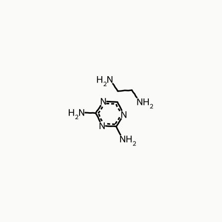 NCCN.Nc1ncnc(N)n1